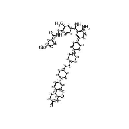 Cc1cc(C(=N)c2cc(-c3ccc(N4CCN(CCC5CCN(c6ccc(C7CCC(=O)NC7=O)c(F)c6)CC5)CC4)cc3)cnc2N)ccc1CNC(=O)c1noc(C(C)(C)C)n1